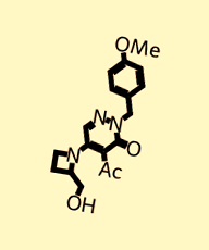 COc1ccc(Cn2ncc(N3CCC3CO)c(C(C)=O)c2=O)cc1